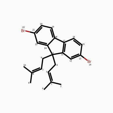 CC(C)=CCC1(CC=C(C)C)c2cc(Br)ccc2-c2ccc(Br)cc21